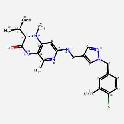 COc1cc(Cn2cc(CNc3cc4c(c(C)n3)NC(=O)[C@H]([C@@H](C)OC)N4C)cn2)ccc1F